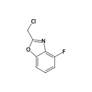 Fc1cccc2oc(CCl)nc12